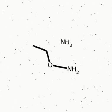 CCON.N